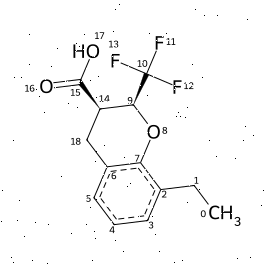 CCc1cccc2c1O[C@H](C(F)(F)F)[C@H](C(=O)O)C2